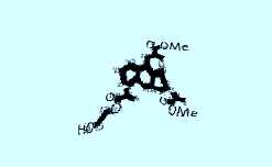 C=C(C)C(=O)OC.C=C(C)C(=O)OCCO.C=C(Cc1c2ccccc2cc2ccccc12)C(=O)OC